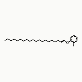 CCCCCCCCCCCCCCCCCC/C=C/Oc1ccccc1C